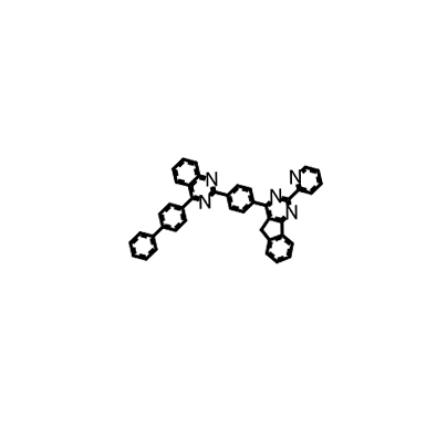 c1ccc(-c2ccc(-c3nc(-c4ccc(-c5nc(-c6ccccn6)nc6c5Cc5ccccc5-6)cc4)nc4ccccc34)cc2)cc1